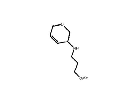 COCCCNC1C=CCOC1